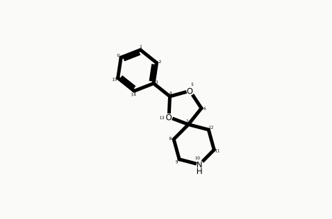 c1ccc(C2OCC3(CCNCC3)O2)cc1